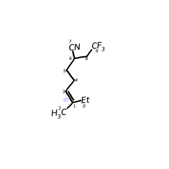 CC/C(C)=C\CCC(C#N)CC(F)(F)F